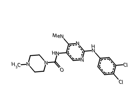 CNc1nc(Nc2ccc(Cl)c(Cl)c2)ncc1NC(=O)N1CCN(C)CC1